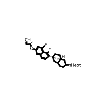 C=CCOc1cc(F)c2c(F)c([C@@H]3CC[C@@H]4CC(CCCCCCC)CCC4C3)ccc2c1